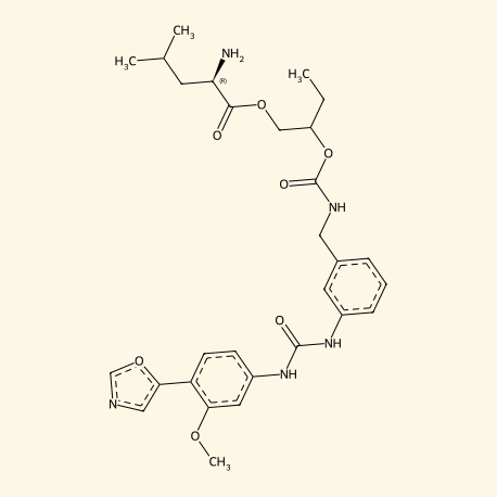 CCC(COC(=O)[C@H](N)CC(C)C)OC(=O)NCc1cccc(NC(=O)Nc2ccc(-c3cnco3)c(OC)c2)c1